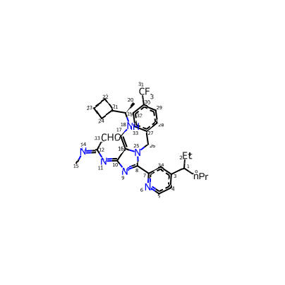 CCCC(CC)c1ccnc(C2=NC(=N/C(C=O)=N\C)/C(=C/N[C@H](C)C3CCC3)N2Cc2ccc(C(F)(F)F)cc2)c1